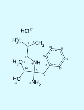 CC(C)CNC(N)(Cc1ccccc1)C(C)O.Cl